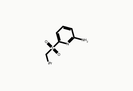 CC(C)CS(=O)(=O)c1cccc(N)n1